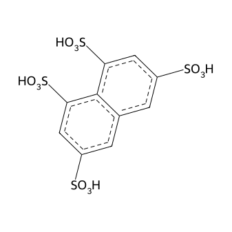 O=S(=O)(O)c1cc(S(=O)(=O)O)c2c(S(=O)(=O)O)cc(S(=O)(=O)O)cc2c1